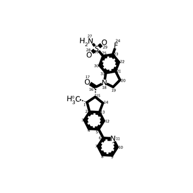 C[C@H]1c2ccc(-c3ccccn3)cc2C[C@H]1C(=O)N1CCc2cc(F)c(S(N)(=O)=O)cc21